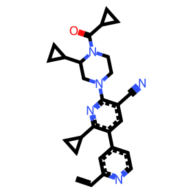 C=Cc1cc(-c2cc(C#N)c(N3CCN(C(=O)C4CC4)C(C4CC4)C3)nc2C2CC2)ccn1